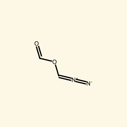 [N-]=[N+]=COC=O